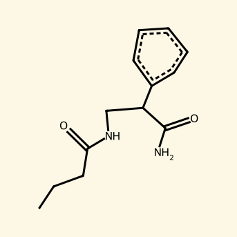 CCCC(=O)NCC(C(N)=O)c1ccccc1